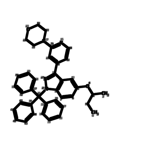 CCC(C)Oc1ccc2c(c1)c(-c1ccnc(N3CCOCC3)c1)nn2C(c1ccccc1)(c1ccccc1)c1ccccc1